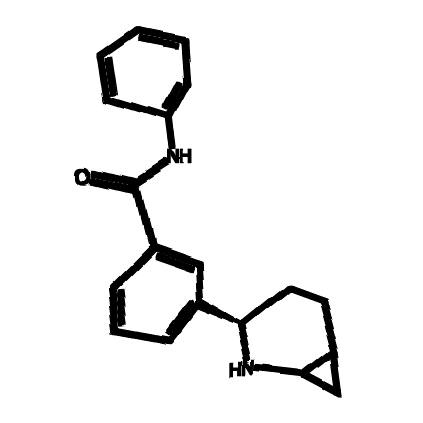 O=C(Nc1ccccc1)c1cccc([C@H]2CCC3CC3N2)c1